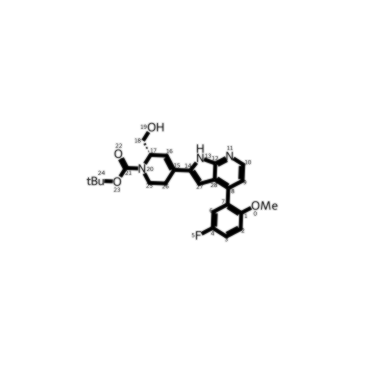 COc1ccc(F)cc1-c1ccnc2[nH]c(C3=C[C@@H](CO)N(C(=O)OC(C)(C)C)CC3)cc12